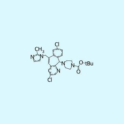 Cc1nccn1CC1=Cc2cc(Cl)cnc2C(N2CCN(C(=O)OC(C)(C)C)CC2)c2ccc(Cl)cc21